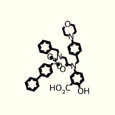 O=C(O)c1cc(N(Cc2ccc(N3CCOCC3)cc2)C(=O)CN(Cc2ccccc2)S(=O)(=O)c2ccc(-c3ccccc3)cc2)ccc1O